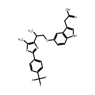 Cc1oc(-c2ccc(C(F)(F)F)cc2)nc1C(C)COc1ccc2[nH]cc(CC(=O)O)c2c1